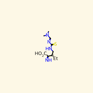 CC[C@@H](CNC(=S)N=CN(C)C)C(=N)C(=O)O